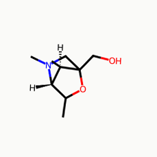 CC1OC2(CO)CN(C)[C@@H]1[C@H]2C